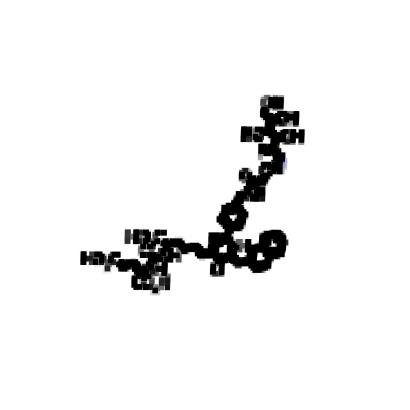 O=C(O)CCC(NC(=O)NC(CCCCNC(=O)C(Cc1ccc2ccccc2c1)NC(=O)c1ccc(CNC(=O)CO/N=C\C(F)C(O)C(O)C(O)CO)cc1)C(=O)O)C(=O)O